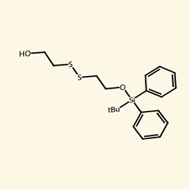 CC(C)(C)[Si](OCCSSCCO)(c1ccccc1)c1ccccc1